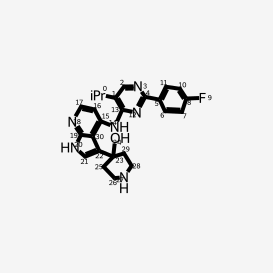 CC(C)c1cnc(-c2ccc(F)cc2)nc1Nc1ccnc2[nH]cc(C3(O)CCNCC3)c12